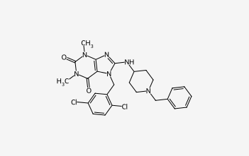 Cn1c(=O)c2c(nc(NC3CCN(Cc4ccccc4)CC3)n2Cc2cc(Cl)ccc2Cl)n(C)c1=O